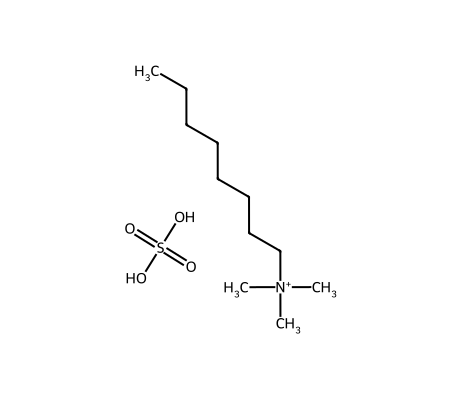 CCCCCCCC[N+](C)(C)C.O=S(=O)(O)O